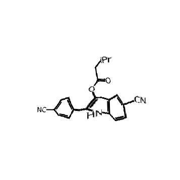 CC(C)CC(=O)Oc1c(-c2ccc(C#N)cc2)[nH]c2ccc(C#N)cc12